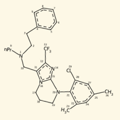 CCCN(CCc1ccccc1)Cc1c(C(F)(F)F)nc2n1CCCN2c1c(C)cc(C)cc1Cl